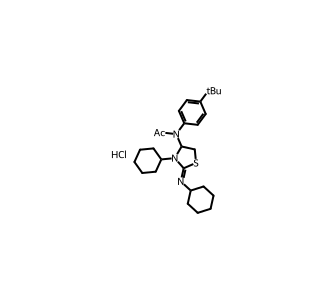 CC(=O)N(c1ccc(C(C)(C)C)cc1)C1CSC(=NC2CCCCC2)N1C1CCCCC1.Cl